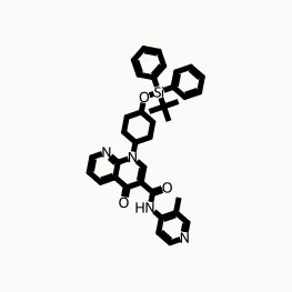 Cc1cnccc1NC(=O)c1cn(C2CCC(O[Si](c3ccccc3)(c3ccccc3)C(C)(C)C)CC2)c2ncccc2c1=O